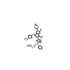 CN1CCN(c2cc3c(cc2F)c(=O)c(-c2noc(C(CC(=O)O)c4ccccc4)n2)cn3Cc2ccc(Cl)cc2)CC1